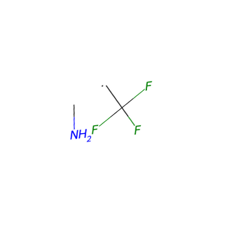 CN.[CH2]C(F)(F)F